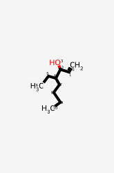 C=CC(O)C(CC)CCCC